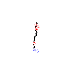 CCOC(=O)COCCCCCCCCCOCCCN